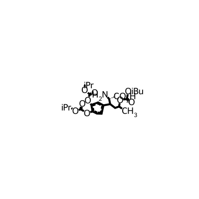 CC(C)COC(=O)OC(C)CC(c1ccc(OC(=O)OC(C)C)c(OC(=O)OC(C)C)c1)[C@H](N)C(=O)O